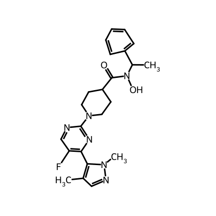 Cc1cnn(C)c1-c1nc(N2CCC(C(=O)N(O)C(C)c3ccccc3)CC2)ncc1F